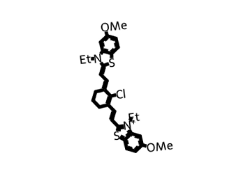 CCN1/C(=C/C=C2\CCCC(/C=C/c3sc4ccc(OC)cc4[n+]3CC)=C2Cl)Sc2ccc(OC)cc21